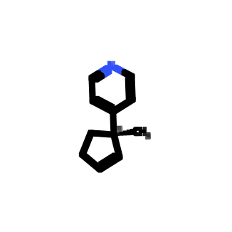 C[C@]1(c2ccncc2)C=CCC1